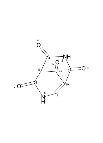 O=C1NC(=O)C2C(=O)NC=C1C2=O